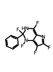 FC1=NC2=C(F)NC(F)(c3ccccc3)N(F)C2=C1F